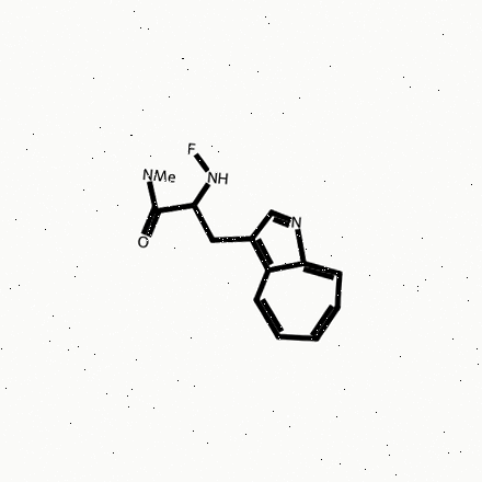 CNC(=O)C(Cc1cnc2cccccc1-2)NF